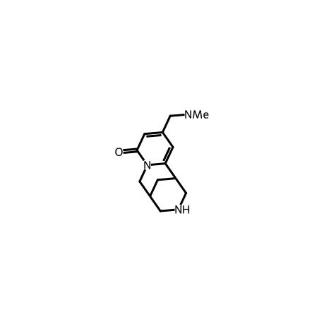 CNCc1cc2n(c(=O)c1)CC1CNCC2C1